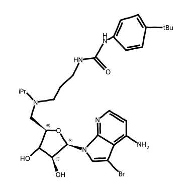 CC(C)N(CCCNC(=O)Nc1ccc(C(C)(C)C)cc1)C[C@H]1O[C@@H](n2cc(Br)c3c(N)ccnc32)[C@@H](O)C1O